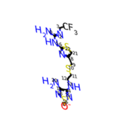 NC(=NCC(F)(F)F)Nc1nc(CSCCNc2n[s+]([O-])nc2N)cs1